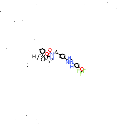 CC(C)(C)c1ccccc1OC(=O)NC1CC1c1ccc(C(=N)/N=C\Nc2ccc(OC(F)(F)F)cc2)cc1